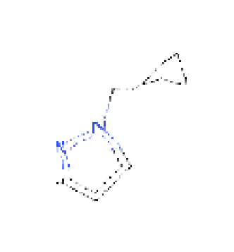 [c]1ccn(CC2CC2)n1